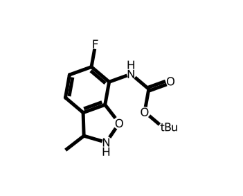 CC1NOc2c1ccc(F)c2NC(=O)OC(C)(C)C